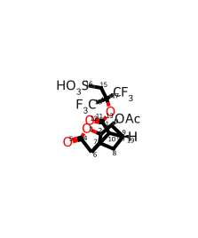 CC(=O)OC1C2OC(=O)C3C2C[C@@H]1C3C(=O)OC(CS(=O)(=O)O)(C(F)(F)F)C(F)(F)F